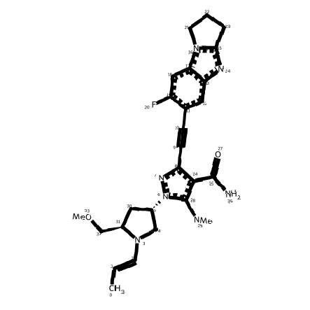 CC=CN1C[C@@H](n2nc(C#Cc3cc4nc5n(c4cc3F)CCC5)c(C(N)=O)c2NC)C[C@@H]1COC